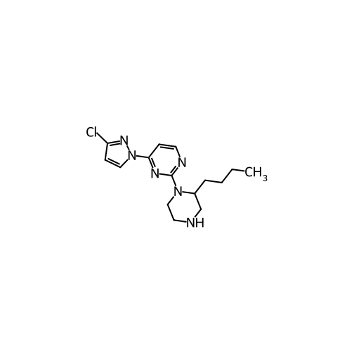 CCCCC1CNCCN1c1nccc(-n2ccc(Cl)n2)n1